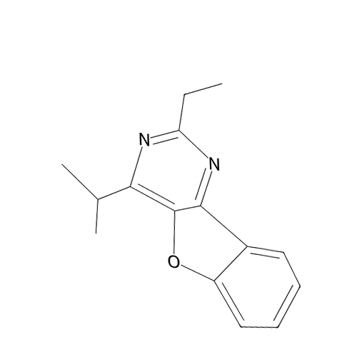 CCc1nc(C(C)C)c2oc3ccccc3c2n1